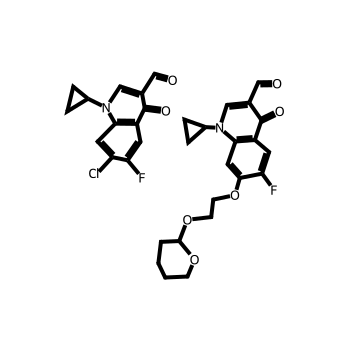 O=Cc1cn(C2CC2)c2cc(Cl)c(F)cc2c1=O.O=Cc1cn(C2CC2)c2cc(OCCOC3CCCCO3)c(F)cc2c1=O